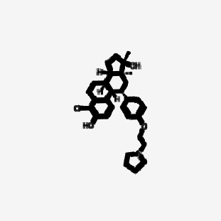 C[C@]1(O)CC[C@H]2[C@@H]3CCc4c(ccc(O)c4Cl)[C@H]3[C@@H](c3ccc(OCCN4CCCC4)cc3)C[C@@]21C